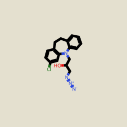 [N-]=[N+]=NCC(O)CN1c2ccccc2CCc2ccc(Cl)cc21